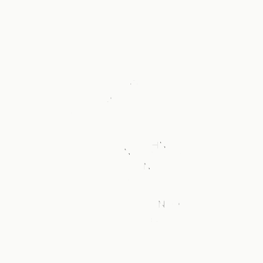 CCCCOc1ccc(-c2nc3ccc([N+](=O)[O-])cn3c2NC2CCCCC2)cc1OCCCC